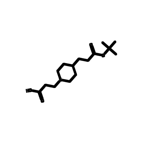 CC(C)(C)OC(=O)CCC1CCN(CCC(=O)O)CC1